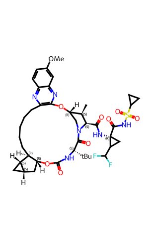 COc1ccc2nc3c(nc2c1)O[C@H]1CN(C(=O)[C@H](C(C)(C)C)NC(=O)O[C@@H]2C[C@@H]4C[C@@H]4[C@H]2CCCCC3)[C@H](C(=O)N[C@]2(C(=O)NS(=O)(=O)C3CC3)CC2C(F)F)[C@@H]1C